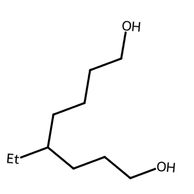 CCC(CCCO)CCCCO